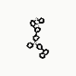 c1ccc(N(c2ccc(-c3ccc4c(c3)c3cccc5c3n4-c3ccccc3O5)cc2)c2ccc(-c3cccc4ccccc34)cc2)cc1